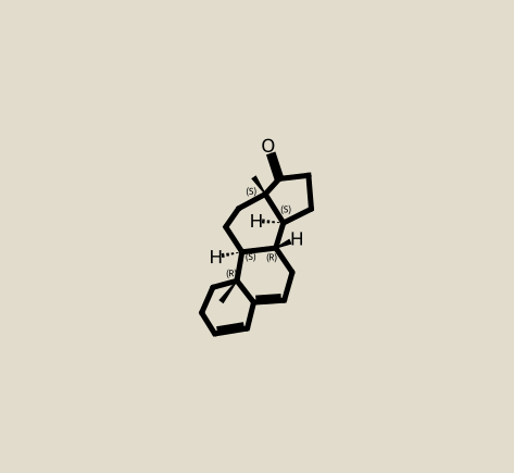 C[C@]12CCC=CC1=CC[C@@H]1[C@@H]2CC[C@]2(C)C(=O)CC[C@@H]12